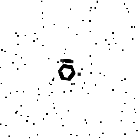 C=O.[Ni].c1ccncc1